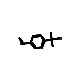 CNc1ccc(C(C)(C)O)nc1